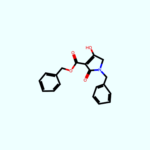 O=C(OCc1ccccc1)C1=C(O)CN(Cc2ccccc2)C1=O